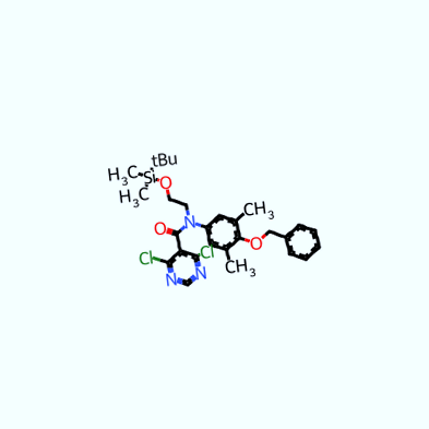 Cc1cc(N(CCO[Si](C)(C)C(C)(C)C)C(=O)c2c(Cl)ncnc2Cl)cc(C)c1OCc1ccccc1